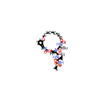 CC[C@H]1C[C@@]1(NC(=O)C1C[C@@H]2CN1C(=O)[C@H](C(C)(C)C)NC(=O)OCCCCCCCCCOc1cccc3c1CN(C3)C(=O)O2)C(=O)NS(=O)(=O)C1CC1